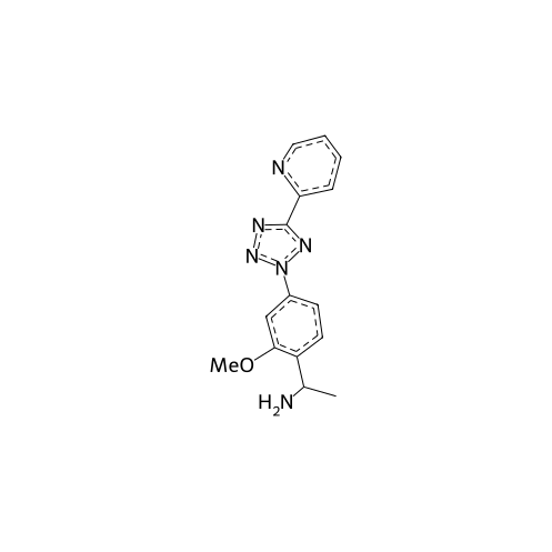 COc1cc(-n2nnc(-c3ccccn3)n2)ccc1C(C)N